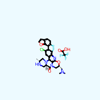 C[C@@H]1CN2c3c4c(nc5c(F)c(-c6c(F)ccc7ccoc67)c(Cl)cc35)O[C@H](CN(C)C)CN4C(=O)[C@H]2CN1.O=C(O)C(F)(F)F